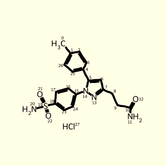 Cc1ccc(-c2cc(CCC(N)=O)nn2-c2ccc(S(N)(=O)=O)cc2)cc1.Cl